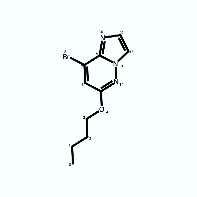 CCCCOc1cc(Br)c2nccn2n1